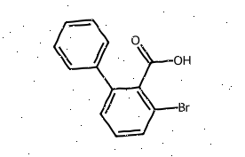 O=C(O)c1c(Br)cccc1-c1ccccc1